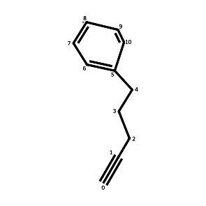 C#CCCCc1cc[c]cc1